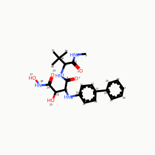 CNC(=O)C(NC(=O)C(Nc1ccc(-c2ccccc2)cc1)C(O)C(=O)NO)C(C)(C)C